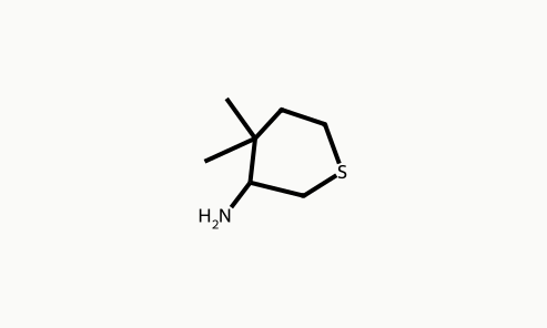 CC1(C)CCSCC1N